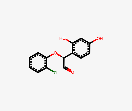 O=C[C@@H](Oc1ccccc1Cl)c1ccc(O)cc1O